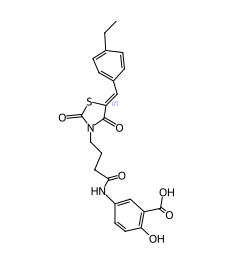 CCc1ccc(/C=C2\SC(=O)N(CCCC(=O)Nc3ccc(O)c(C(=O)O)c3)C2=O)cc1